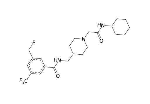 O=C(CN1CCC(CNC(=O)c2cc(CF)cc(C(F)(F)F)c2)CC1)NC1CCCCC1